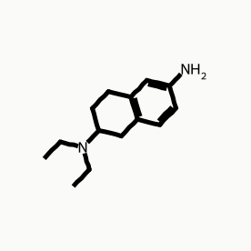 CCN(CC)C1CCc2cc(N)ccc2C1